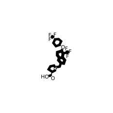 O=C(O)[C@H]1CCCN(Cc2ccc3c(C(F)(F)F)c(O[C@H]4CC[C@@H](C(F)(F)F)CC4)ccc3c2)C1